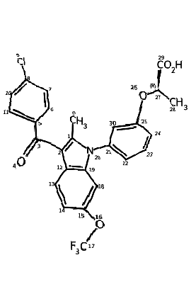 Cc1c(C(=O)c2ccc(Cl)cc2)c2ccc(OC(F)(F)F)cc2n1-c1cccc(O[C@H](C)C(=O)O)c1